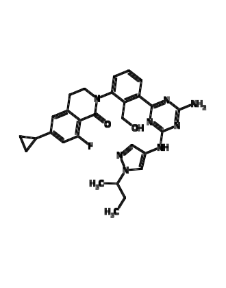 CCC(C)n1cc(Nc2nc(N)nc(-c3cccc(N4CCc5cc(C6CC6)cc(F)c5C4=O)c3CO)n2)cn1